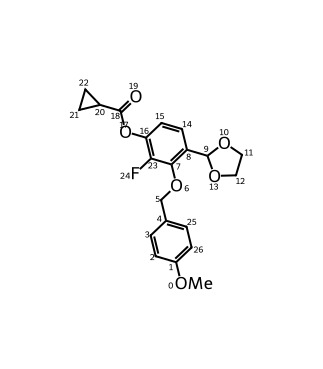 COc1ccc(COc2c(C3OCCO3)ccc(OC(=O)C3CC3)c2F)cc1